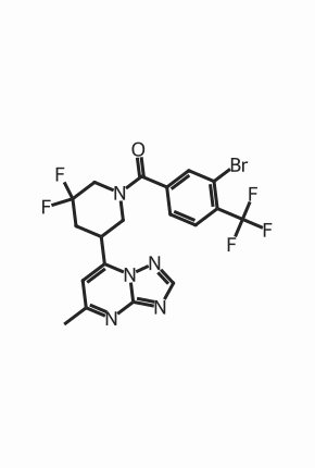 Cc1cc(C2CN(C(=O)c3ccc(C(F)(F)F)c(Br)c3)CC(F)(F)C2)n2ncnc2n1